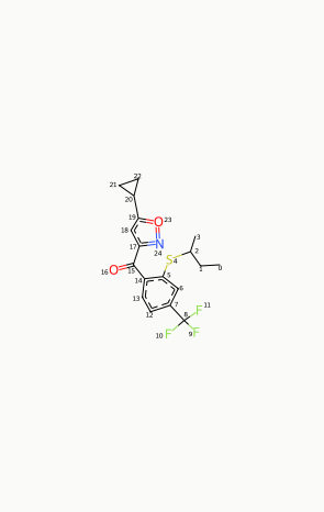 CCC(C)Sc1cc(C(F)(F)F)ccc1C(=O)c1cc(C2CC2)on1